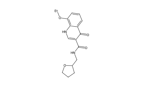 CCOc1cccc2c(=O)c(C(=O)NCC3CCCO3)c[nH]c12